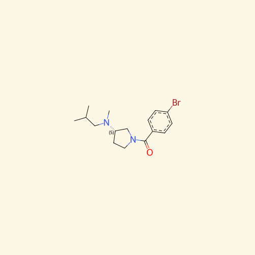 CC(C)CN(C)[C@H]1CCN(C(=O)c2ccc(Br)cc2)C1